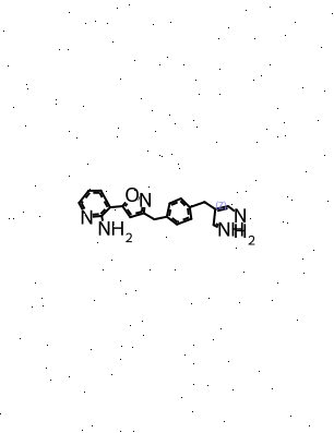 N=C/C(=C\N)Cc1ccc(Cc2cc(-c3cccnc3N)on2)cc1